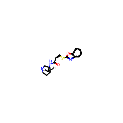 O=C(/C=C\Sc1nc2ccccc2o1)N[C@H]1CN2CCC1CC2